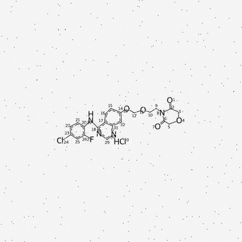 Cl.O=C1COCC(=O)N1CCOCOc1ccc2c(Nc3ccc(Cl)cc3F)ncnc2c1